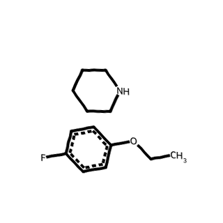 C1CCNCC1.CCOc1ccc(F)cc1